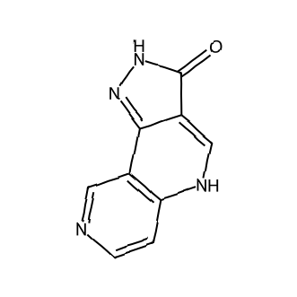 O=c1[nH]nc2c3cnccc3[nH]cc1-2